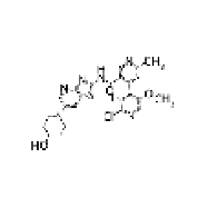 COc1cnc(Cl)c(F)c1-c1cc(C)ncc1C(=O)Nc1nc2ncc(N3CCC(O)CC3)cc2s1